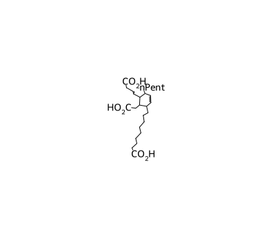 CCCCCC1C=CC(CCCCCCCCC(=O)O)C(CC(=O)O)C1C=CCC(=O)O